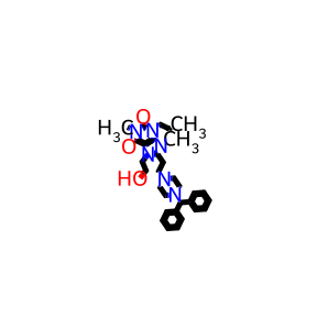 CC(C)Cn1c(=O)n(C)c(=O)c2c1nc(CCN1CCN(C(c3ccccc3)c3ccccc3)CC1)n2CCO